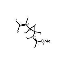 CO/C(C)=[N+](/C)C1(C)CC1(C)C(C)=C(C)C